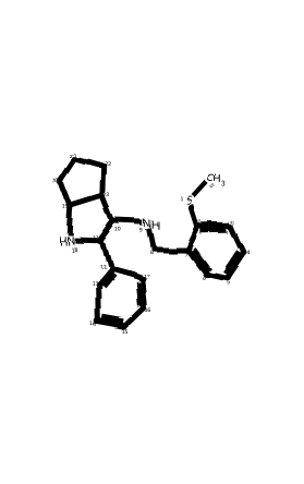 CSc1ccccc1CNC1C(c2ccccc2)NC2CCCC21